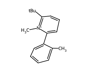 Cc1ccccc1-c1cccc(C(C)(C)C)[n+]1C